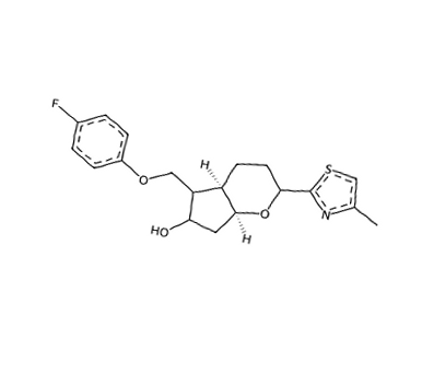 Cc1csc(C2CC[C@@H]3C(COc4ccc(F)cc4)C(O)C[C@@H]3O2)n1